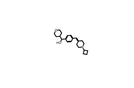 OC(c1ccc(C=C2CCN(C3CCC3)CC2)cc1)C1CCOCC1